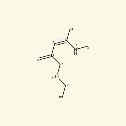 C=C(/C=C(/C)NC)COCC